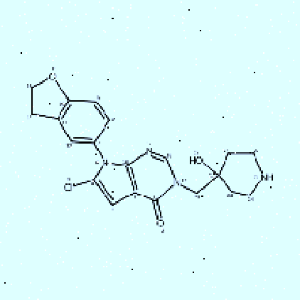 O=c1c2cc(Cl)n(-c3ccc4c(c3)CCO4)c2ncn1CC1(O)CCNCC1